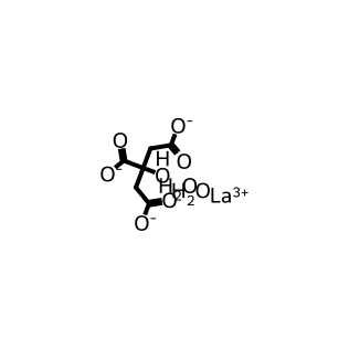 O.O.O=C([O-])CC(O)(CC(=O)[O-])C(=O)[O-].[La+3]